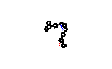 c1ccc2c(c1)cc(-c1ccc(-c3ccc4ccc5ccc(-c6ccc(-c7ccc8oc9ccccc9c8c7)cc6)nc5c4n3)cc1)c1ccccc12